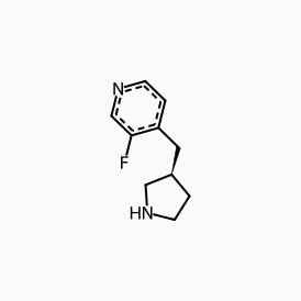 Fc1cnccc1C[C@H]1CCNC1